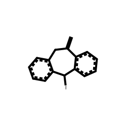 C=C1Cc2ccccc2C(I)c2ccccc21